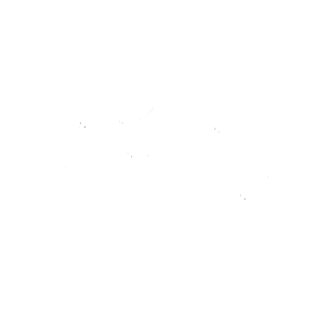 Cc1cc(CN2CCC(C(=O)N(C)C)CC2)cc2c(=O)[nH]c(-c3cc4sccc4cn3)nc12.Cl